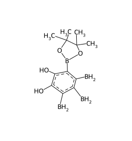 Bc1c(B)c(O)c(O)c(B2OC(C)(C)C(C)(C)O2)c1B